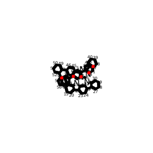 c1ccc(-c2ccc(-c3ccccc3)c(-n3c4ccccc4c4ccc5c6ccccc6n(-c6nc(-c7ccccc7)nc(-c7ccc(-c8ccccc8-c8ccccc8)cc7)n6)c5c43)c2)cc1